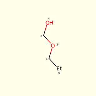 [CH2]CCOCO